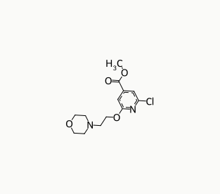 COC(=O)c1cc(Cl)nc(OCCN2CCOCC2)c1